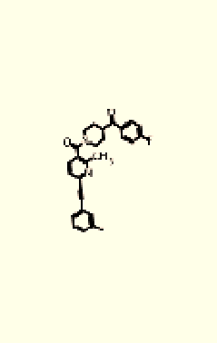 Cc1nc(C#Cc2cccc(F)c2)ccc1C(=O)N1CCC(C(=O)c2ccc(F)cc2)CC1